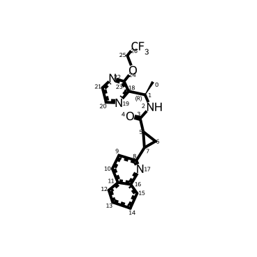 C[C@@H](NC(=O)C1CC1c1ccc2ccccc2n1)c1nccnc1OCC(F)(F)F